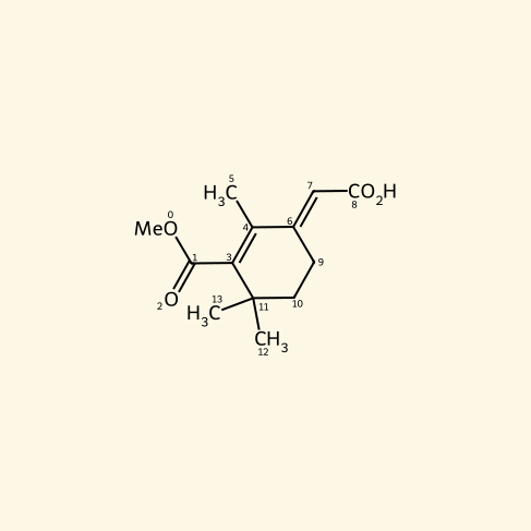 COC(=O)C1=C(C)C(=CC(=O)O)CCC1(C)C